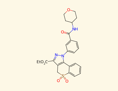 CCOC(=O)c1nn(-c2cccc(C(=O)NC3CCOCC3)c2)c2c1CS(=O)(=O)c1ccccc1-2